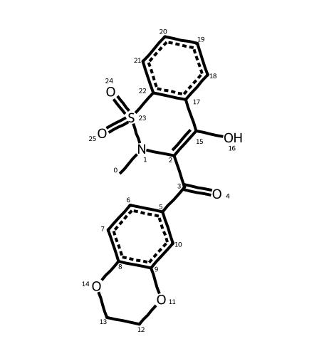 CN1C(C(=O)c2ccc3c(c2)OCCO3)=C(O)c2ccccc2S1(=O)=O